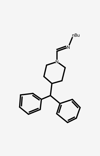 CCCC/N=C/N1CCC(C(c2ccccc2)c2ccccc2)CC1